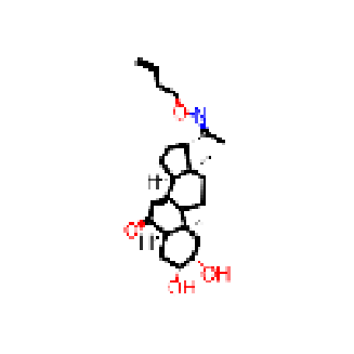 C=CCCO/N=C(/C)[C@H]1CC[C@@H]2C3=CC(=O)[C@@H]4C[C@@H](O)[C@@H](O)C[C@]4(C)C3CC[C@@]21C